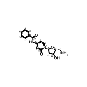 NC[C@H]1O[C@@H](n2ccc(NC(=O)c3ccccc3)nc2=O)CC1O